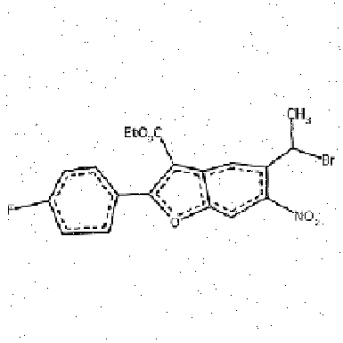 CCOC(=O)c1c(-c2ccc(F)cc2)oc2cc([N+](=O)[O-])c(C(C)Br)cc12